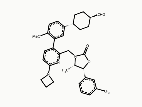 COc1ccc([C@H]2CC[C@H](C=O)CC2)cc1-c1ccc(N2CCC2)nc1CN1C(=O)O[C@H](c2cccc(C(F)(F)F)c2)[C@@H]1C